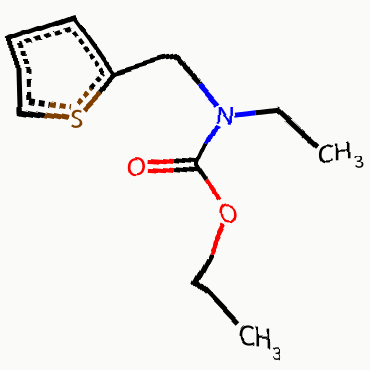 CCOC(=O)N(CC)Cc1cccs1